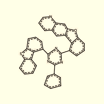 c1ccc(-c2nc(-c3cccc4oc5cc6ncccc6cc5c34)nc(-c3cccc4sc5ccccc5c34)n2)cc1